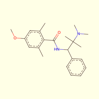 COc1cc(C)c(C(=O)NC(c2ccccc2)C(C)(C)N(C)C)c(C)c1